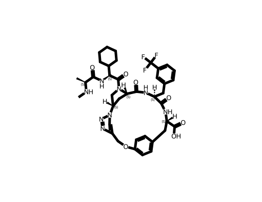 CN[C@@H](C)C(=O)N[C@H](C(=O)N1C[C@@H]2C[C@H]1C(=O)N[C@@H](Cc1cccc(C(F)(F)F)c1)C(=O)N[C@H](C(=O)O)Cc1ccc(cc1)OCc1cn2nn1)C1CCCCC1